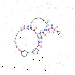 O=C1NCCCCCCOc2cccc(c2)-c2cccc(n2)C(=O)N[C@@H]2C[C@H]3C(=O)N[C@]4(C(=O)NS(=O)(=O)C5CC5)C[C@H]4/C=C\CCCCC[C@H](N1)C(=O)N3C2